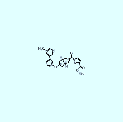 C[n+]1cncc(-c2cccc(O[C@H]3C[C@@H]4CN(C(=O)n5ccc(C(=O)OC(C)(C)C)n5)C[C@@H]4C3)c2)c1